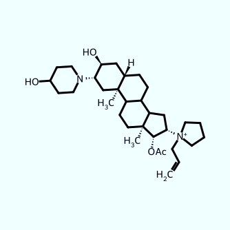 C=CC[N+]1([C@H]2CC3C4CC[C@H]5C[C@H](O)[C@@H](N6CCC(O)CC6)C[C@]5(C)C4CC[C@]3(C)[C@H]2OC(C)=O)CCCC1